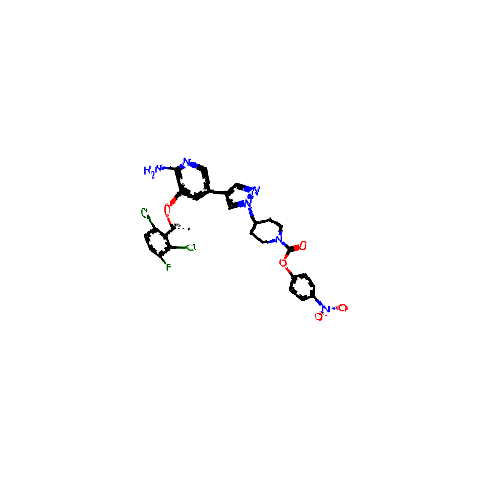 C[C@@H](Oc1cc(-c2cnn(C3CCN(C(=O)Oc4ccc([N+](=O)[O-])cc4)CC3)c2)cnc1N)c1c(Cl)ccc(F)c1Cl